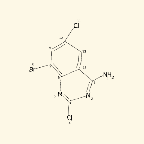 Nc1nc(Cl)nc2c(Br)cc(Cl)cc12